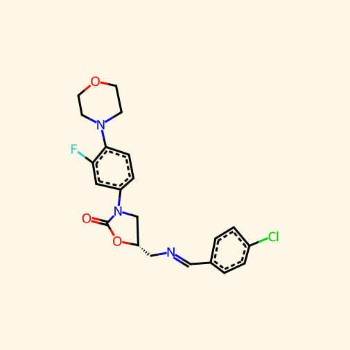 O=C1O[C@@H](C/N=C/c2ccc(Cl)cc2)CN1c1ccc(N2CCOCC2)c(F)c1